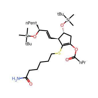 CCCCC[C@@H](/C=C/[C@@H]1C(SCCCCCC(N)=O)=C(OC(=O)CCC)C[C@H]1O[Si](C)(C)C(C)(C)C)O[Si](C)(C)C(C)(C)C